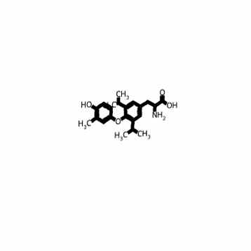 Cc1cc(Oc2c(C(C)C)cc(CC(N)C(=O)O)cc2C(C)C)ccc1O